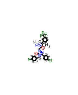 CC(C)(NC(=O)Cn1nc(-c2ccc(Cl)cc2)n(Cc2ccc(F)cc2)c1=O)c1cccc(C(F)(F)F)c1